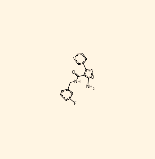 Nc1onc(-c2cccnc2)c1C(=O)NCc1cccc(F)c1